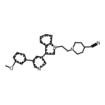 COc1cccc(-c2cncc(-c3cn(CCN4CCC(C#N)CC4)c4ccccc34)c2)c1